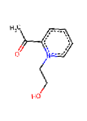 CC(=O)c1cccc[n+]1CCO